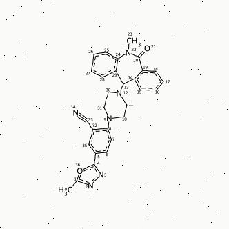 Cc1nnc(-c2ccc(N3CCN(C4c5ccccc5C(=O)N(C)c5ccccc54)CC3)c(C#N)c2)o1